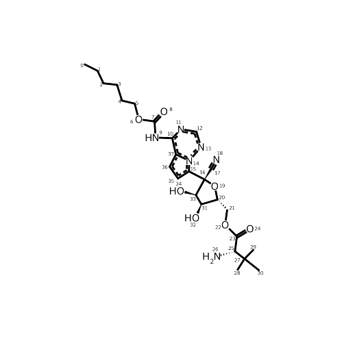 CCCCCCOC(=O)Nc1ncnn2c([C@]3(C#N)O[C@H](COC(=O)[C@@H](N)C(C)(C)C)[C@@H](O)[C@H]3O)ccc12